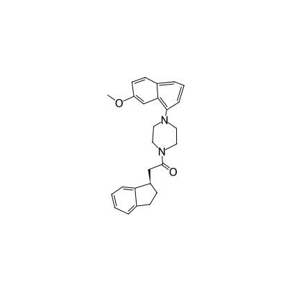 COc1ccc2cccc(N3CCN(C(=O)C[C@H]4CCc5ccccc54)CC3)c2c1